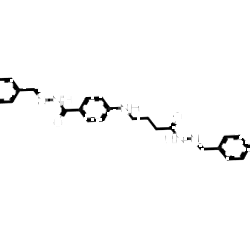 O=C(CCCNc1ccc(C(=O)N/N=C/c2ccccc2)cc1)N/N=C/c1ccccc1